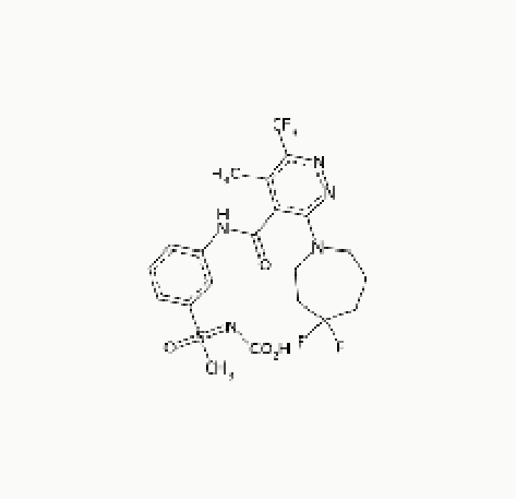 Cc1c(C(F)(F)F)nnc(N2CCCC(F)(F)CC2)c1C(=O)Nc1cccc(S(C)(=O)=NC(=O)O)c1